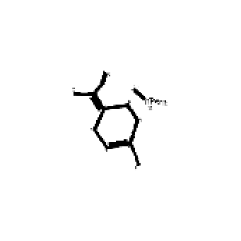 CC1=CCC(=C(C)C)CC1.[CH2]CCCCC